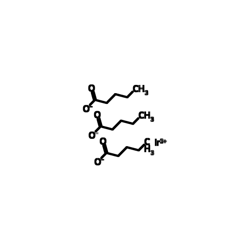 CCCCC(=O)[O-].CCCCC(=O)[O-].CCCCC(=O)[O-].[Ir+3]